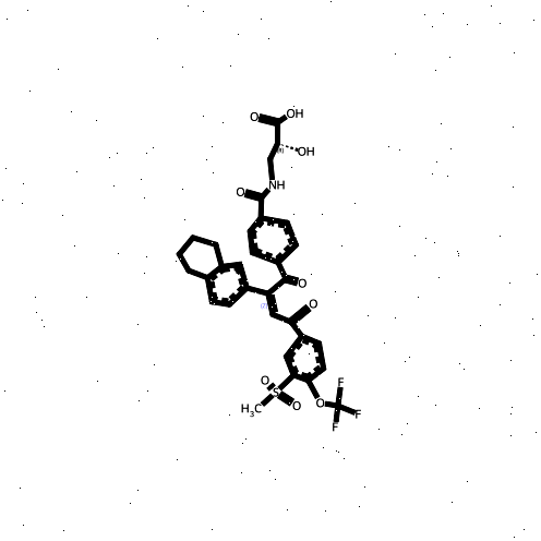 CS(=O)(=O)c1cc(C(=O)/C=C(\C(=O)c2ccc(C(=O)NC[C@@H](O)C(=O)O)cc2)c2ccc3c(c2)CCCC3)ccc1OC(F)(F)F